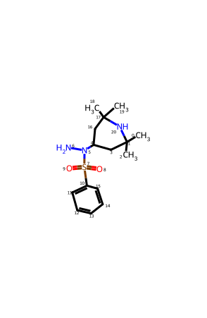 CC1(C)CC(N(N)S(=O)(=O)c2ccccc2)CC(C)(C)N1